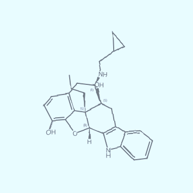 CCC[C@]12c3c4ccc(O)c3O[C@H]1c1[nH]c3ccccc3c1C[C@@]2(O)[C@H](NCC1CC1)C4